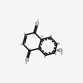 Cl.O=C1C=CC(=O)c2ccccc21